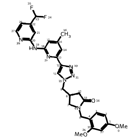 COc1ccc(CN2CC(Cn3cc(-c4cc(C)cc(Nc5cc(C(F)F)ccn5)n4)nn3)CC2=O)c(OC)c1